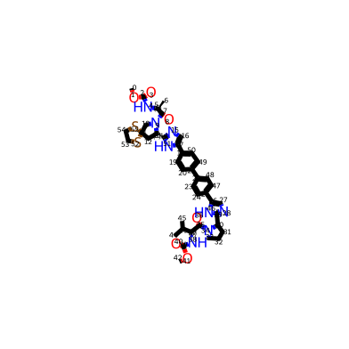 COC(=O)N[C@@H](C)C(=O)N1CC2(C[C@H]1c1ncc(-c3ccc(-c4ccc(-c5cnc(C6CCCN6C(=O)[C@@H](NC(=O)OC)C(C)C)[nH]5)cc4)cc3)[nH]1)SCCS2